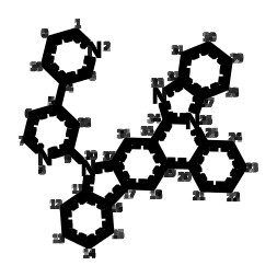 c1cncc(-c2ccnc(-n3c4ccccc4c4cc5c6ccccc6n6c7ccccc7nc6c5cc43)c2)c1